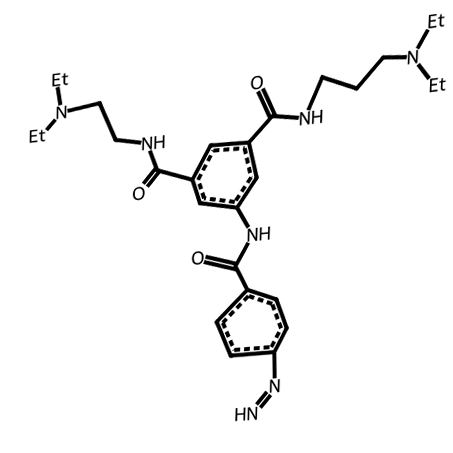 CCN(CC)CCCNC(=O)c1cc(NC(=O)c2ccc(N=N)cc2)cc(C(=O)NCCN(CC)CC)c1